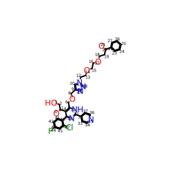 O=C(CO)C1=C(COCc2cn(CCOCCOCCC(=O)c3ccccc3)nn2)NC(c2ccncc2)=NC1c1ccc(F)cc1Cl